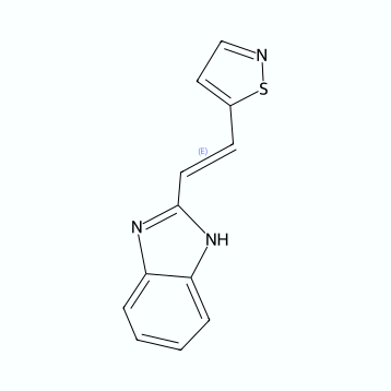 C(=C\c1ccns1)/c1nc2ccccc2[nH]1